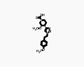 COc1ccc(CCn2cc([C@H]3CCN(C(=O)O)C[C@@H]3OC)nn2)cc1